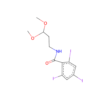 COC(CCNC(=O)c1c(I)cc(I)cc1I)OC